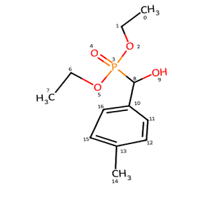 CCOP(=O)(OCC)C(O)c1ccc(C)cc1